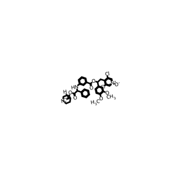 COc1ccc(C(Cc2c(Cl)c[n+]([O-])cc2Cl)OC(=O)c2cccc(NC(C(=O)O[C@H]3CN4CCC3CC4)c3ccccc3)c2)cc1OC